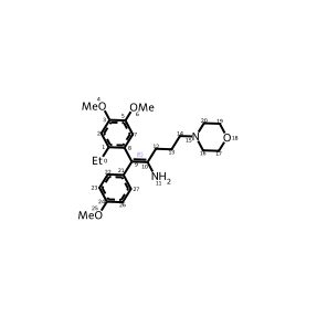 CCc1cc(OC)c(OC)cc1/C(=C(/N)CCCN1CCOCC1)c1ccc(OC)cc1